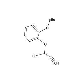 C#CC(Cl)Oc1ccccc1OCCCC